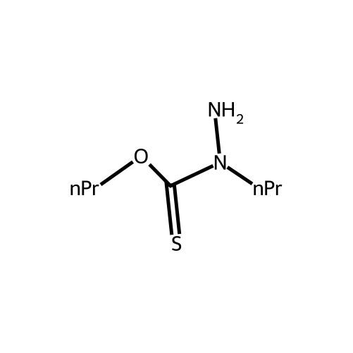 CCCOC(=S)N(N)CCC